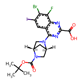 CC(C)(C)OC(=O)N1C[C@@H]2C[C@H]1CN2c1nc(C(=O)O)nc2c(F)c(Br)c(I)cc12